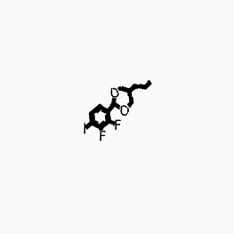 CCCC1COC(c2ccc(I)c(F)c2F)OC1